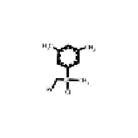 Cc1cc(C)cc([Si](C)(Cl)CC(C)C)c1